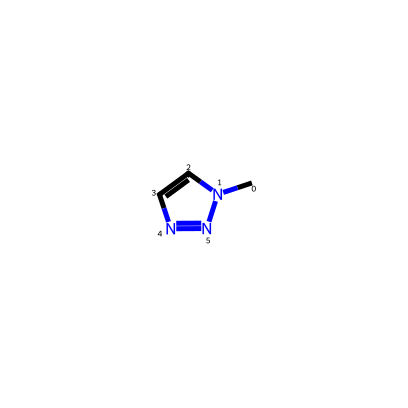 Cn1[c]cnn1